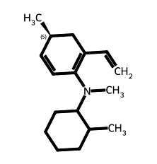 C=CC1=C(N(C)C2CCCCC2C)C=C[C@@H](C)C1